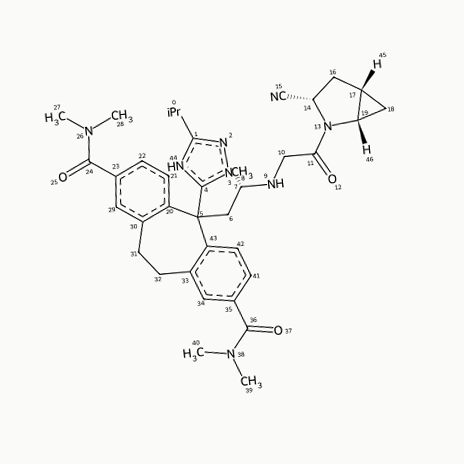 CC(C)c1nnc(C2(C[C@H](C)NCC(=O)N3[C@H](C#N)C[C@@H]4C[C@@H]43)c3ccc(C(=O)N(C)C)cc3CCc3cc(C(=O)N(C)C)ccc32)[nH]1